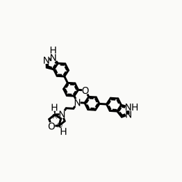 c1cc2c(cc1-c1ccc3[nH]ncc3c1)Oc1cc(-c3ccc4[nH]ncc4c3)ccc1N2CCN1C[C@H]2C[C@@H]1CO2